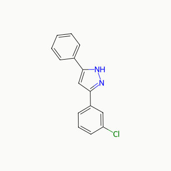 Clc1cccc(-c2cc(-c3ccccc3)[nH]n2)c1